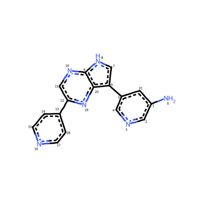 Nc1cncc(-c2c[nH]c3ncc(-c4ccncc4)nc23)c1